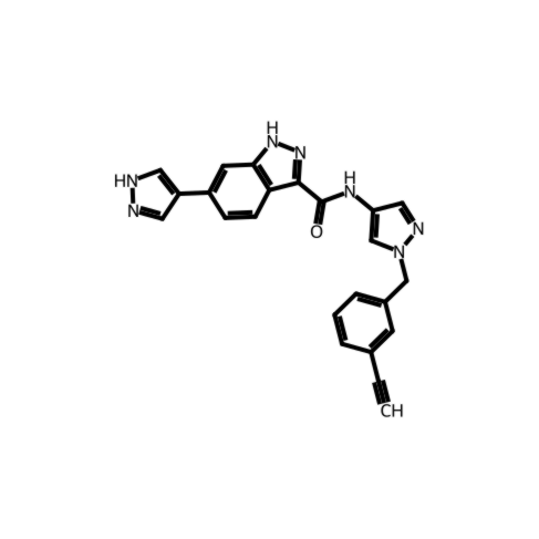 C#Cc1cccc(Cn2cc(NC(=O)c3n[nH]c4cc(-c5cn[nH]c5)ccc34)cn2)c1